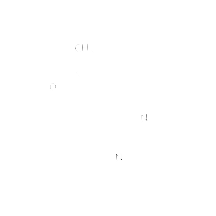 CC(=O)CCc1ncccn1